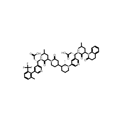 Cc1cccc(C(F)(F)F)c1-c1cncc([C@H](CC(=O)O)NC(=O)C(CC(C)C)N2CCC(C3CCCN(c4cncc([C@H](CC(=O)O)NC(=O)C(CC(C)C)N5C(=O)CCc6ccccc65)c4)[C@H]3C)CC2=O)c1